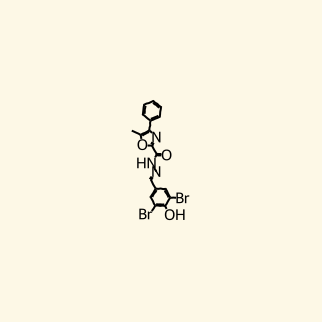 Cc1oc(C(=O)NN=Cc2cc(Br)c(O)c(Br)c2)nc1-c1ccccc1